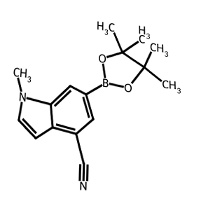 Cn1ccc2c(C#N)cc(B3OC(C)(C)C(C)(C)O3)cc21